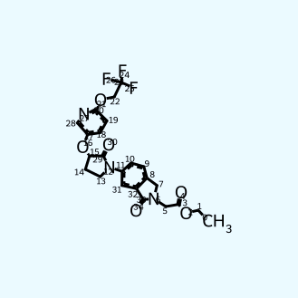 CCOC(=O)CN1Cc2ccc(N3CC[C@@H](Oc4ccc(OCC(F)(F)F)nc4)C3=O)cc2C1=O